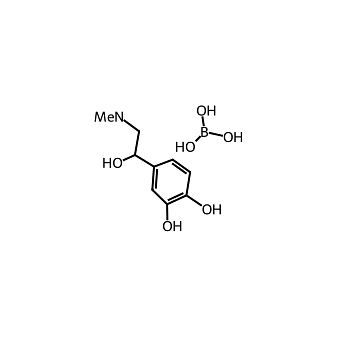 CNCC(O)c1ccc(O)c(O)c1.OB(O)O